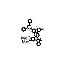 COc1cc2c3c(c4c(c2cc1OC)-c1ccccc1C4(C)C)C=CC(c1ccc(-c2nc(-c4ccccc4)cc(-c4ccccc4)n2)cc1)(c1cc(F)cc(F)c1)O3